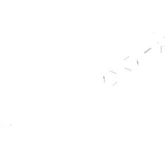 CCCCCC1CCC(C2CCC(OCc3ccc(-c4cc(F)c(C#CC(F)(F)F)c(F)c4)c(F)c3)CC2)CC1